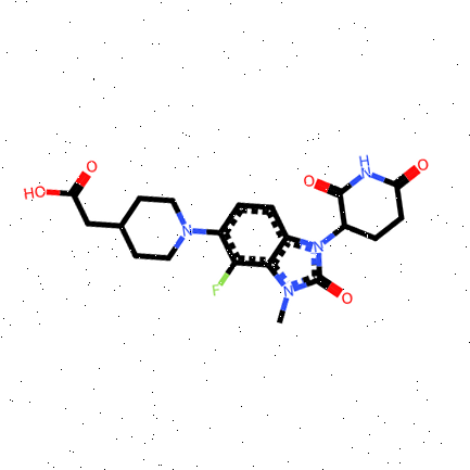 Cn1c(=O)n(C2CCC(=O)NC2=O)c2ccc(N3CCC(CC(=O)O)CC3)c(F)c21